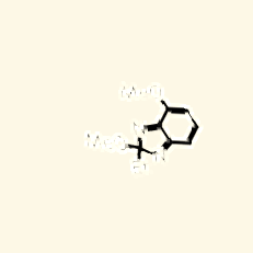 CCC1(OC)N=c2cccc(OC)c2=N1